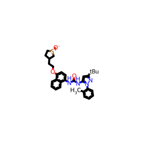 Cc1ccccc1-n1nc(C(C)(C)C)cc1NC(=O)Nc1ccc(OCCC2CC[S+]([O-])C2)c2ccccc12